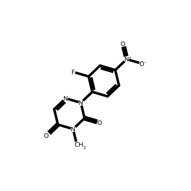 Cn1c(=O)cnn(-c2ccc([N+](=O)[O-])cc2F)c1=O